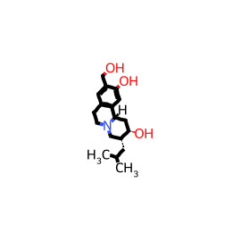 CC(C)C[C@@H]1CN2CCc3cc(CO)c(O)cc3[C@@H]2C[C@@H]1O